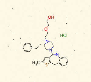 Cc1cc2c(s1)Cc1ccccc1N=C2N1CCN(CCOCCO)[C@@H](CCc2ccccc2)C1.Cl